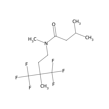 CC(C)CC(=O)N(C)CCC(C)(C(F)(F)F)C(F)(F)F